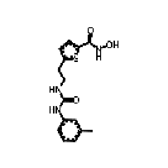 Cc1cccc(NC(=O)NCCc2ccc(C(=O)NO)s2)c1